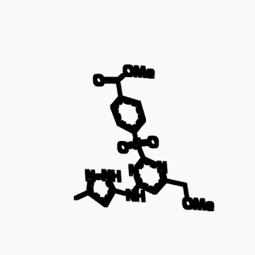 COCc1cc(Nc2cc(C)n[nH]2)nc(S(=O)(=O)c2ccc(C(=O)OC)cc2)n1